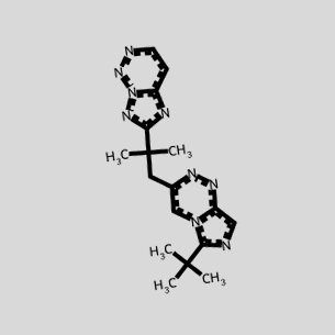 CC(C)(C)c1ncc2nnc(CC(C)(C)c3nc4ccnnn4n3)cn12